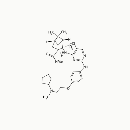 CNC(=O)[C@H]1C[C@H]2C[C@H](C2(C)C)[C@@]1(C)Nc1nc(Nc2ccc(OCCN(C)C3CCCC3)cc2)ncc1Cl